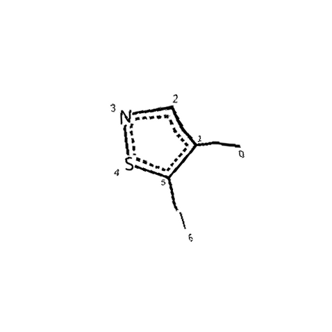 Cc1cnsc1I